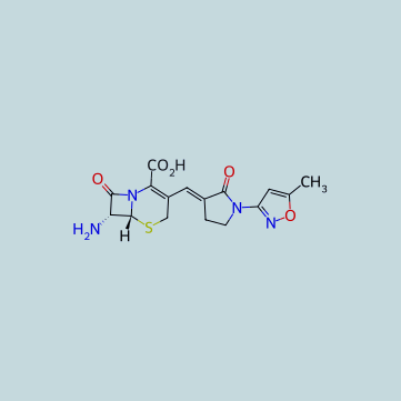 Cc1cc(N2CCC(=CC3=C(C(=O)O)N4C(=O)[C@@H](N)[C@H]4SC3)C2=O)no1